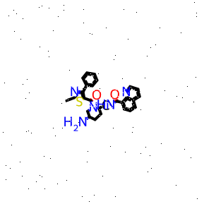 Cc1nc(-c2ccccc2)c(C(=O)N2CC(N)CCC2CNC(=O)c2cccc3cccnc23)s1